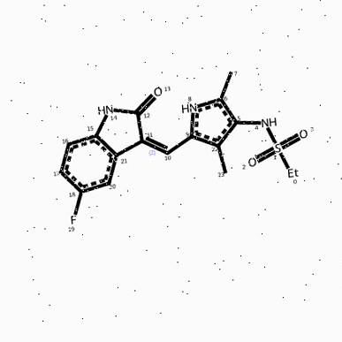 CCS(=O)(=O)Nc1c(C)[nH]c(/C=C2\C(=O)Nc3ccc(F)cc32)c1C